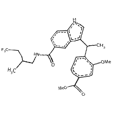 COC(=O)c1ccc(C(C)c2c[nH]c3ccc(C(=O)NCC(C)CC(F)(F)F)cc23)c(OC)c1